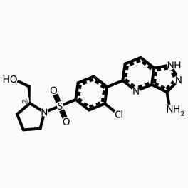 Nc1n[nH]c2ccc(-c3ccc(S(=O)(=O)N4CCC[C@H]4CO)cc3Cl)nc12